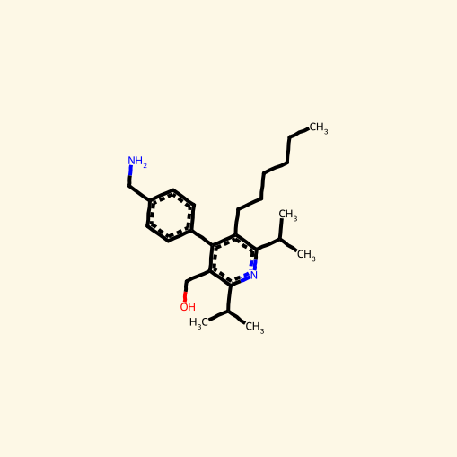 CCCCCCc1c(C(C)C)nc(C(C)C)c(CO)c1-c1ccc(CN)cc1